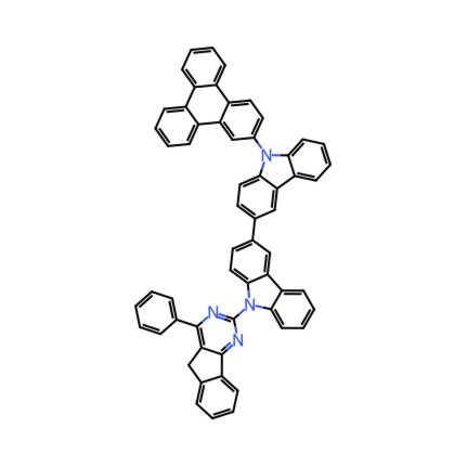 c1ccc(-c2nc(-n3c4ccccc4c4cc(-c5ccc6c(c5)c5ccccc5n6-c5ccc6c7ccccc7c7ccccc7c6c5)ccc43)nc3c2Cc2ccccc2-3)cc1